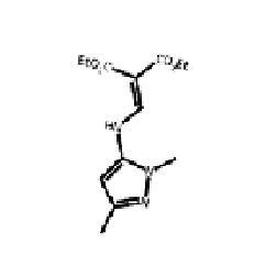 CCOC(=O)C(=CNc1cc(C)nn1C)C(=O)OCC